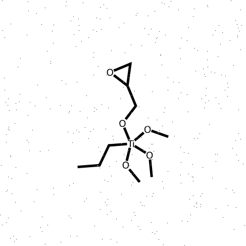 CC[CH2][Ti]([O]C)([O]C)([O]C)[O]CC1CO1